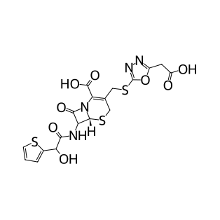 O=C(O)Cc1nnc(SCC2=C(C(=O)O)N3C(=O)C(NC(=O)C(O)c4cccs4)[C@H]3SC2)o1